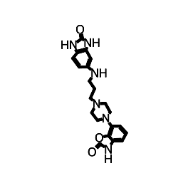 O=c1[nH]c2ccc(NCCCN3CCN(c4cccc5[nH]c(=O)oc45)CC3)cc2[nH]1